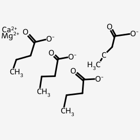 CCCC(=O)[O-].CCCC(=O)[O-].CCCC(=O)[O-].CCCC(=O)[O-].[Ca+2].[Mg+2]